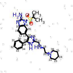 CC(C)S(=O)(=O)n1c(N)nc2ccc(-c3nc(CNCCN4CCCCC4)[nH]c3-c3ccccc3)cc21